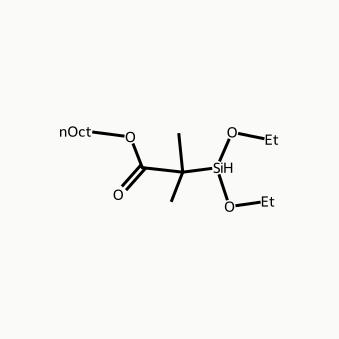 CCCCCCCCOC(=O)C(C)(C)[SiH](OCC)OCC